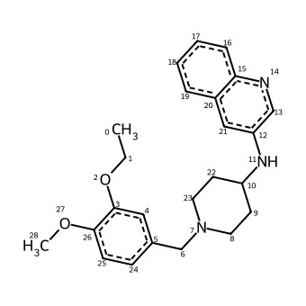 CCOc1cc(CN2CCC(Nc3cnc4ccccc4c3)CC2)ccc1OC